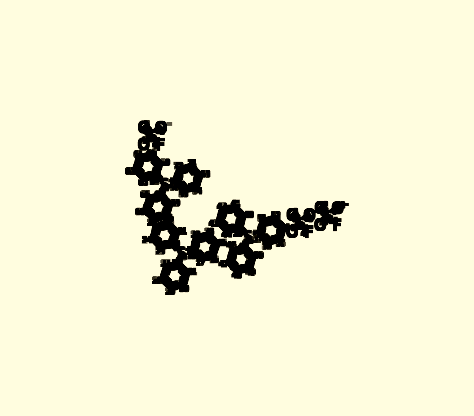 O=S(=O)([O-])F.O=S(=O)([O-])F.O=S(=O)([O-])F.c1ccc([S+](c2ccccc2)c2ccccc2)cc1.c1ccc([S+](c2ccccc2)c2ccccc2)cc1.c1ccc([S+](c2ccccc2)c2ccccc2)cc1